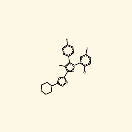 Cc1c(-c2nnc(C3CCCCC3)o2)nn(-c2cc(Cl)ccc2Cl)c1-c1ccc(Cl)cc1